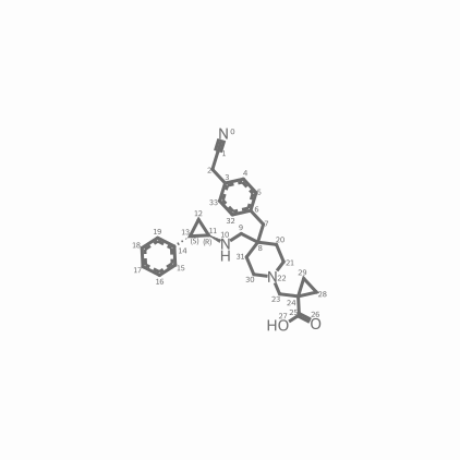 N#CCc1ccc(CC2(CN[C@@H]3C[C@H]3c3ccccc3)CCN(CC3(C(=O)O)CC3)CC2)cc1